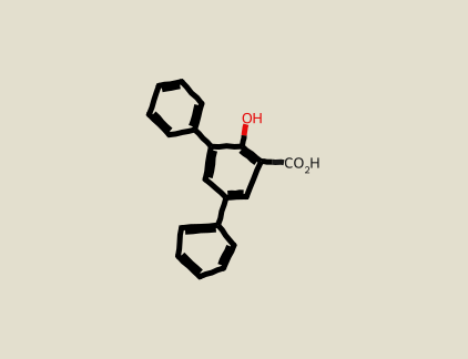 O=C(O)c1cc(-c2ccccc2)cc(-c2ccccc2)c1O